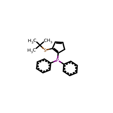 CC(C)(C)SC1=C(P(c2ccccc2)c2ccccc2)CC=C1